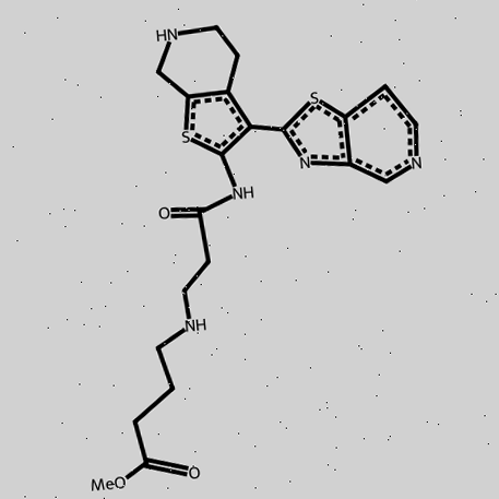 COC(=O)CCCNCCC(=O)Nc1sc2c(c1-c1nc3cnccc3s1)CCNC2